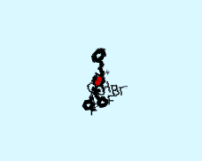 O=C(O[C@H]1C[N+]2(CCCc3ccccc3)CCC1CC2)N(Cc1cccc(F)c1)c1cccc(F)c1.[Br-]